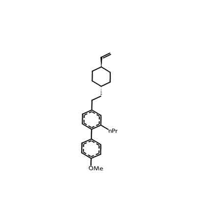 C=C[C@H]1CC[C@H](CCc2ccc(-c3ccc(OC)cc3)c(CCC)c2)CC1